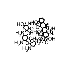 C=C1c2cccc(O)c2C(=O)C2=C(O)[C@]3(O)C(=O)C(C(N)=O)=C(O)[C@@H](N(C)C)[C@@H]3[C@@H](O)[C@H]12.CNC[C@@H]1CC[C@@H](N)[C@@H](O[C@H]2[C@H](O)[C@@H](O[C@H]3OC[C@](C)(O)[C@H](NC)[C@H]3O)[C@H](N)C[C@@H]2N)O1